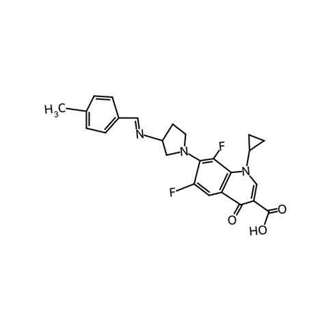 Cc1ccc(C=NC2CCN(c3c(F)cc4c(=O)c(C(=O)O)cn(C5CC5)c4c3F)C2)cc1